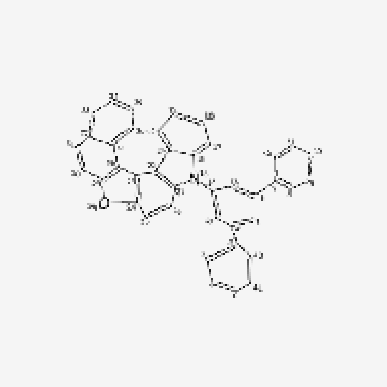 c1ccc(-c2cc(-c3ccccc3)cc(-n3c4ccccc4c4c5c(ccc43)oc3ccc4ccccc4c35)c2)cc1